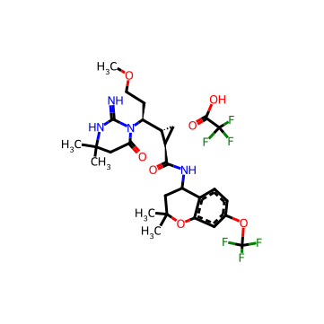 COCC[C@@H]([C@@H]1C[C@H]1C(=O)NC1CC(C)(C)Oc2cc(OC(F)(F)F)ccc21)N1C(=N)NC(C)(C)CC1=O.O=C(O)C(F)(F)F